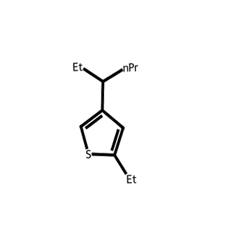 CCCC(CC)c1csc(CC)c1